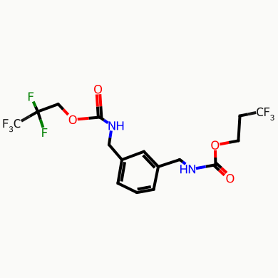 O=C(NCc1cccc(CNC(=O)OCC(F)(F)C(F)(F)F)c1)OCCC(F)(F)F